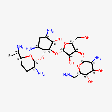 CC[C@H](N)[C@@H]1CC[C@@H](N)[C@@H](O[C@H]2[C@H](O[C@@H]3O[C@H](CO)[C@@H](O[C@H]4O[C@@H](CN)[C@@H](O)[C@H](O)[C@H]4N)[C@H]3O)[C@@H](O)[C@H](N)C[C@@H]2N)O1